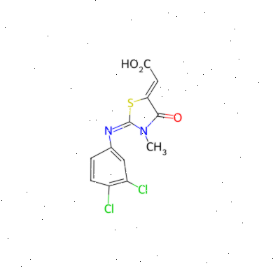 CN1C(=O)C(=CC(=O)O)SC1=Nc1ccc(Cl)c(Cl)c1